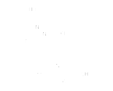 C#CCN1C(=O)COc2cc(F)c(-n3nc(C)cc3C)cc21